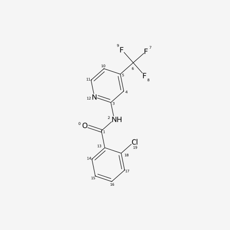 O=C(Nc1cc(C(F)(F)F)ccn1)c1ccccc1Cl